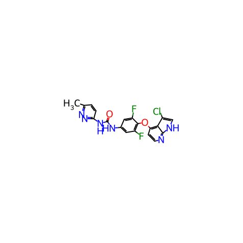 Cc1ccc(NC(=O)Nc2cc(F)c(Oc3ccnc4[nH]cc(Cl)c34)c(F)c2)nn1